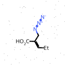 CCC=C(CN=[N+]=[N-])C(=O)O